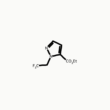 CCOC(=O)c1ccnn1CC(F)(F)F